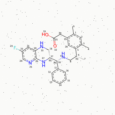 Cc1cc(C)c([C@H](C)CN[C@H](c2ccccc2)[C@H]2CNc3cc(F)cnc3N2)cc1CC(=O)O